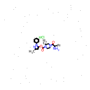 Cc1cc(OC(=O)N2CCN(C(=O)C(N)C(C)C)CC2C)n(-c2ccccc2)n1.Cl